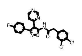 O=C(Cc1ccc(Cl)c(Cl)c1)Nc1onc(-c2ccc(F)cc2)c1-c1ccncn1